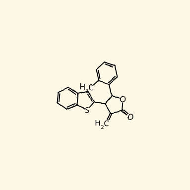 C=C1C(=O)OC(c2ccccc2C)C1c1cc2ccccc2s1